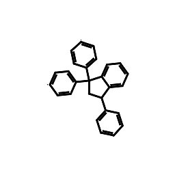 [c]1ccc(C2(c3cc[c]cc3)CC(c3ccccc3)c3ccccc32)cc1